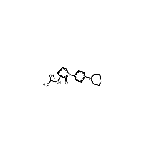 CC(C)Nc1cccn(-c2ccc(N3CCOCC3)cc2)c1=O